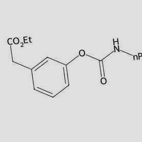 CCCNC(=O)Oc1cccc(CC(=O)OCC)c1